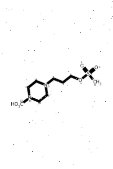 CS(=O)(=O)OCCCN1CCN(C(=O)O)CC1